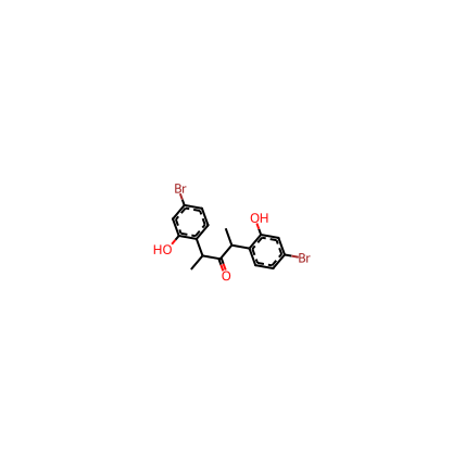 CC(C(=O)C(C)c1ccc(Br)cc1O)c1ccc(Br)cc1O